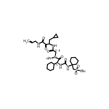 C=CCNC(=O)C(=O)C(CC1CC1)NC(=O)[C@H](I)N(CCC)C(=O)[C@@H](NC(=O)NC1(CS(=O)(=O)C(C)(C)C)CCCCC1)C1CCCCC1